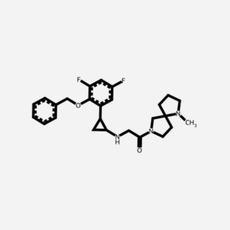 CN1CCCC12CCN(C(=O)CNC1CC1c1cc(F)cc(F)c1OCc1ccccc1)C2